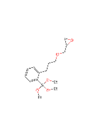 CCO[Si](OCC)(OCC)c1ccccc1CCCOCC1CO1